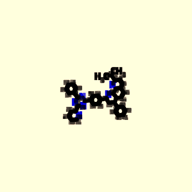 CC(C)c1ccc2c(n1)C1N=C(c3ccc(-c4nc(-c5ccccc5)nc(-c5ccccn5)n4)cc3)C=C(c3ccccc3)C1C=C2